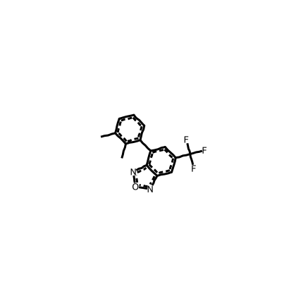 Cc1cccc(-c2cc(C(F)(F)F)cc3nonc23)c1C